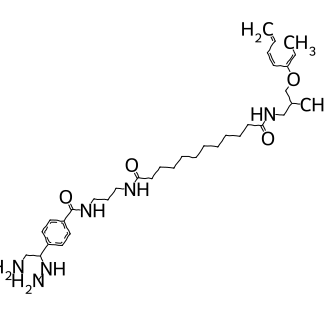 C=C/C=C\C(=C/C)OCC(C)CNC(=O)CCCCCCCCCCC(=O)NCCCNC(=O)c1ccc(C(CN)NN)cc1